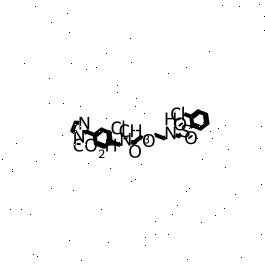 CN(Cc1ccc(C2=NCCN2C(=O)O)cc1Cl)C(=O)COCCNCS(=O)(=O)c1ccccc1Cl